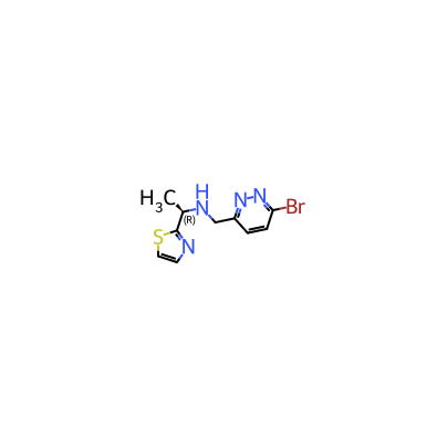 C[C@@H](NCc1ccc(Br)nn1)c1nccs1